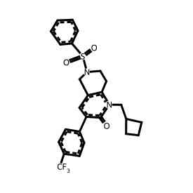 O=c1c(-c2ccc(C(F)(F)F)cc2)cc2c(n1CC1CCC1)CCN(S(=O)(=O)c1ccccc1)C2